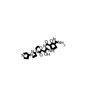 Nc1noc2c1ccc1[nH]c([C@H](O)C3OCCN(c4ccn(-c5ccncc5)n4)C3=O)nc(=O)c12